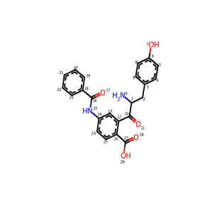 NC(Cc1ccc(O)cc1)C(=O)c1cc(NC(=O)c2ccccc2)ccc1C(=O)O